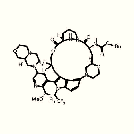 CO[C@@H](C)C1=C(c2c3c4cc(ccc4n2CC(F)(F)F)N2CCO[C@@H](C[C@H](NC(=O)OC(C)(C)C)C(=O)N4CCC[C@H](N4)C(=O)OCC(C)(C)C3)C2)CC(N2CCN3CCOC[C@@H]3C2)C=N1